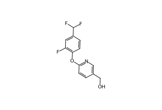 OCc1ccc(Oc2ccc(C(F)F)cc2F)nc1